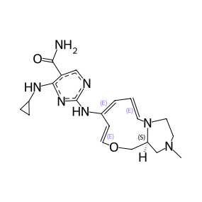 CN1CCN2/C=C/C=C(Nc3ncc(C(N)=O)c(NC4CC4)n3)\C=C\OC[C@@H]2C1